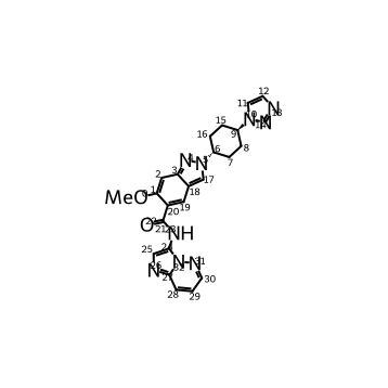 COc1cc2nn([C@H]3CC[C@H](n4ccnn4)CC3)cc2cc1C(=O)Nc1cnc2cccnn12